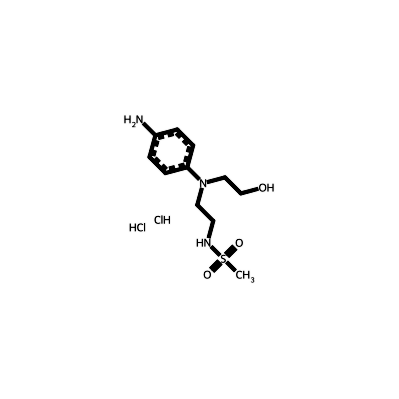 CS(=O)(=O)NCCN(CCO)c1ccc(N)cc1.Cl.Cl